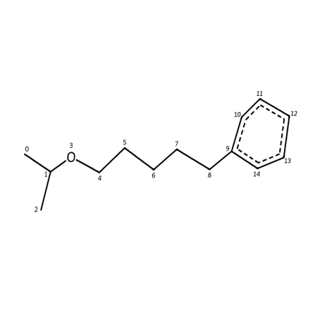 CC(C)OCCCCCc1ccccc1